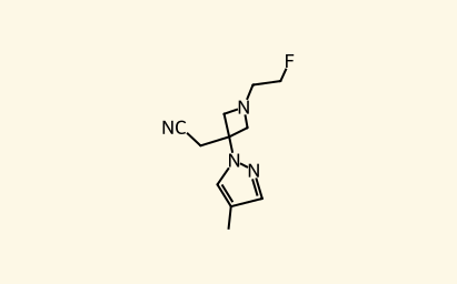 Cc1cnn(C2(CC#N)CN(CCF)C2)c1